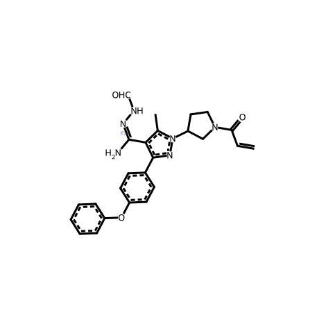 C=CC(=O)N1CCC(n2nc(-c3ccc(Oc4ccccc4)cc3)c(/C(N)=N\NC=O)c2C)C1